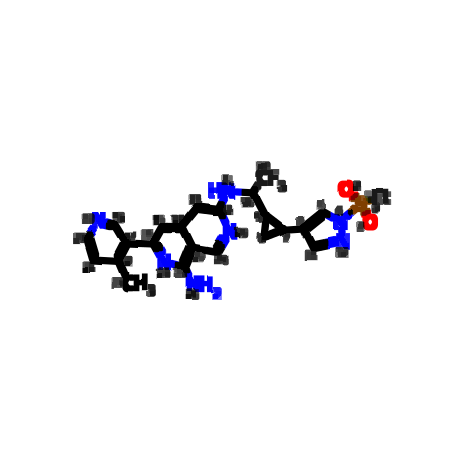 CCS(=O)(=O)n1cc(C2CC2C(Nc2cc3cc(-c4cnccc4C)nc(N)c3cn2)C(F)(F)F)cn1